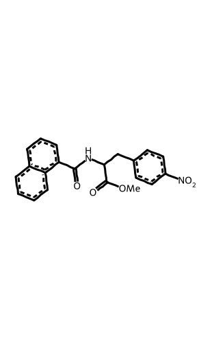 COC(=O)C(Cc1ccc([N+](=O)[O-])cc1)NC(=O)c1cccc2ccccc12